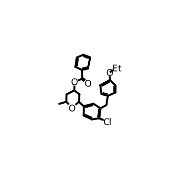 CCOc1ccc(Cc2cc(C3CC(OC(=O)c4ccccc4)CC(C)O3)ccc2Cl)cc1